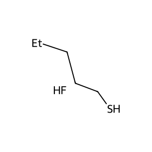 CCCCCS.F